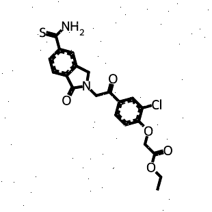 CCOC(=O)COc1ccc(C(=O)CN2Cc3cc(C(N)=S)ccc3C2=O)cc1Cl